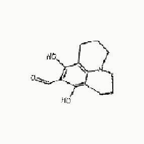 O=Cc1c(O)c2c3c(c1O)CCCN3CCC2